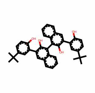 CC(C)(C)c1ccc(O)c(-c2cc3ccccc3c(-c3c(O)c(-c4cc(C(C)(C)C)ccc4O)cc4ccccc34)c2O)c1